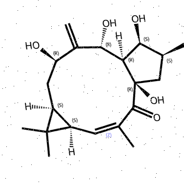 C=C1[C@H](O)C[C@H]2[C@@H](/C=C(/C)C(=O)[C@@]3(O)C[C@H](C)[C@H](O)[C@@H]3[C@H]1O)C2(C)C